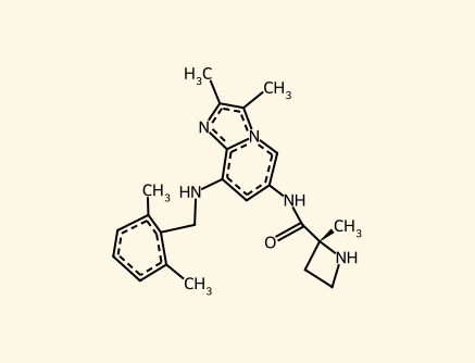 Cc1cccc(C)c1CNc1cc(NC(=O)[C@@]2(C)CCN2)cn2c(C)c(C)nc12